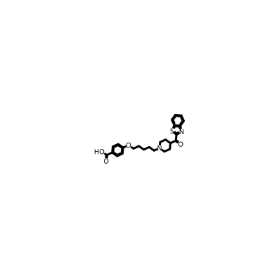 O=C(O)c1ccc(OCCCCCN2CCC(C(=O)c3nc4ccccc4s3)CC2)cc1